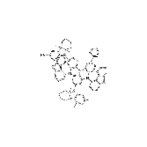 Cc1cc(C)c2c(c1)N(c1cc3c4c(c1)N(c1cccc5sc6ccccc6c15)c1ccc(-c5ccccc5)cc1B4c1ccc(N4c5ccc(C(C)(C)C)cc5C5(C)CCCCC45C)cc1N3c1cccc3oc4ccccc4c13)C1(C)CCCCC21C